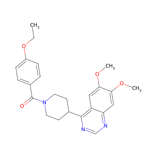 CCOc1ccc(C(=O)N2CCC(c3ncnc4cc(OC)c(OC)cc34)CC2)cc1